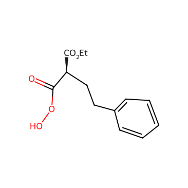 CCOC(=O)[C@@H](CCc1ccccc1)C(=O)OO